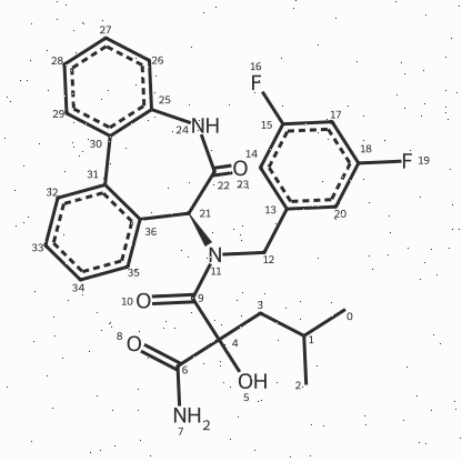 CC(C)CC(O)(C(N)=O)C(=O)N(Cc1cc(F)cc(F)c1)[C@@H]1C(=O)Nc2ccccc2-c2ccccc21